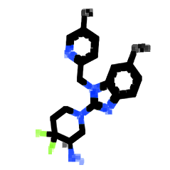 COc1ccc2nc(N3CCC(F)(F)[C@H](N)C3)n(Cc3ccc(C#N)cn3)c2c1